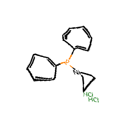 Cl.Cl.c1ccc([P](c2ccccc2)[Ni]2[CH2][CH2]2)cc1